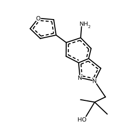 CC(C)(O)Cn1cc2cc(N)c(-c3ccoc3)cc2n1